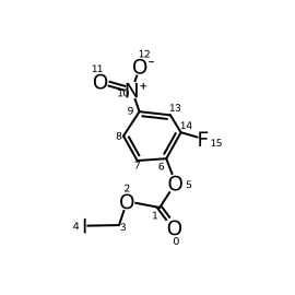 O=C(OCI)Oc1ccc([N+](=O)[O-])cc1F